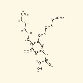 COCCOCOc1cc(CC(=O)OO)cc(Cl)c1OCOCCOC